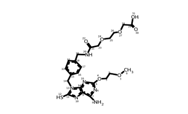 COCCOc1nc(N)c2nc(S)n(Cc3ccc(CNC(=O)COCCOCC(=O)O)cc3)c2n1